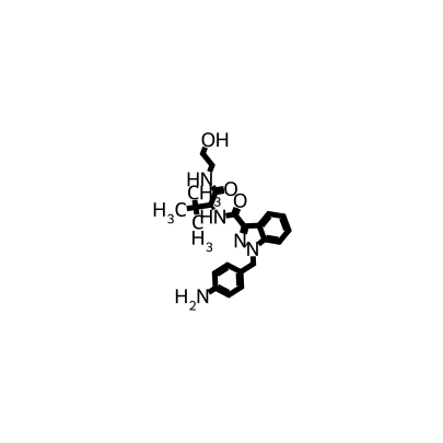 CC(C)(C)[C@H](NC(=O)c1nn(Cc2ccc(N)cc2)c2ccccc12)C(=O)NCCO